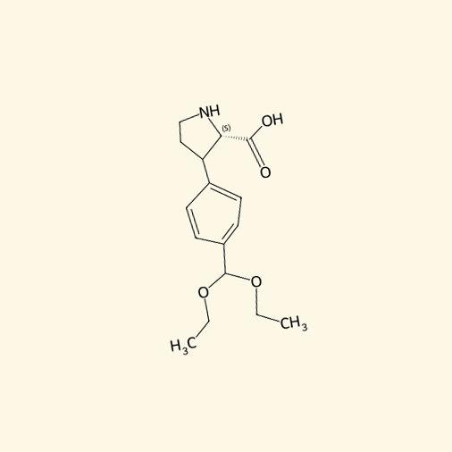 CCOC(OCC)c1ccc(C2CCN[C@@H]2C(=O)O)cc1